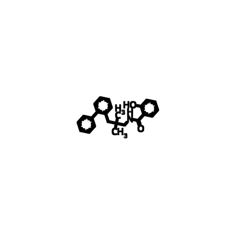 CC(C)(CNC(=O)c1ccccc1O)Cc1ccccc1-c1ccccc1